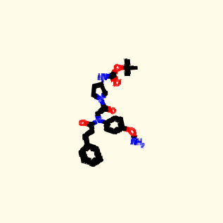 CC(C)(C)OC(=O)N[C@H]1CCN(C(=O)CN(C(=O)/C=C/c2ccccc2)c2ccc(ON)cc2)C1